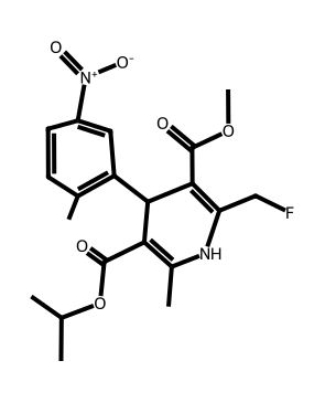 COC(=O)C1=C(CF)NC(C)=C(C(=O)OC(C)C)C1c1cc([N+](=O)[O-])ccc1C